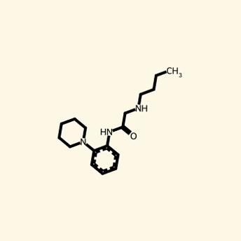 CCCCNCC(=O)Nc1ccccc1N1CCCCC1